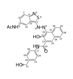 CC(=O)Nc1ccc2nsc(/N=N/c3c(O)c(C(=O)Nc4ccc(CO)cc4)cc4ccccc34)c2c1